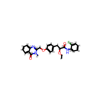 CCOC(Cc1ccc(OCc2nc3ccccc3c(=O)n2C)cc1)C(=O)Nc1ccccc1F